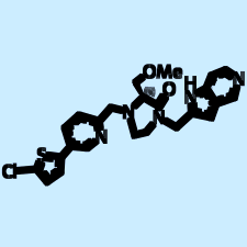 COC[C@H]1C(=O)N(Cc2cc3cnccc3[nH]2)CCN1Cc1ccc(-c2ccc(Cl)s2)cn1